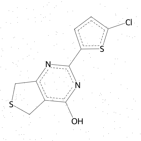 Oc1nc(-c2ccc(Cl)s2)nc2c1CSC2